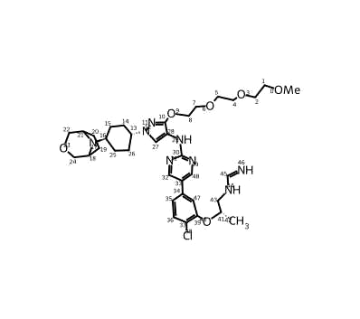 COCCOCCOCCOc1nn([C@H]2CC[C@H](N3C4CCC3COC4)CC2)cc1Nc1ncc(-c2ccc(Cl)c(O[C@@H](C)CNC=N)c2)cn1